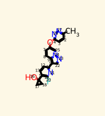 Cc1ccc(Oc2ccc3c(-c4ccc(C5(O)CC5)c(F)n4)cnn3c2)nn1